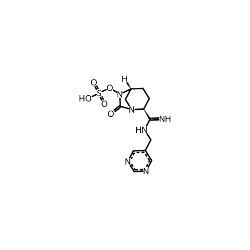 N=C(NCc1cncnc1)[C@@H]1CC[C@@H]2CN1C(=O)N2OS(=O)(=O)O